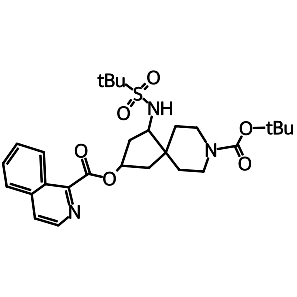 CC(C)(C)OC(=O)N1CCC2(CC1)CC(OC(=O)c1nccc3ccccc13)CC2NS(=O)(=O)C(C)(C)C